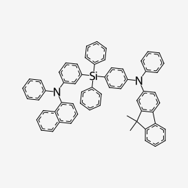 CC1(C)c2ccccc2-c2ccc(N(c3ccccc3)c3ccc([Si](c4ccccc4)(c4ccccc4)c4cccc(N(c5ccccc5)c5cccc6ccccc56)c4)cc3)cc21